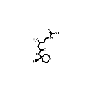 CC(CCNC(=O)O)CC(=O)NC1(C#N)CCOCC1